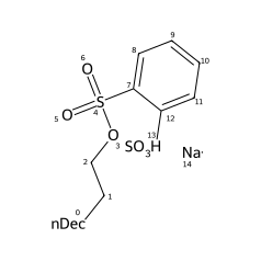 CCCCCCCCCCCCOS(=O)(=O)c1ccccc1S(=O)(=O)O.[Na]